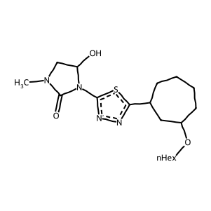 CCCCCCOC1CCCCC(c2nnc(N3C(=O)N(C)CC3O)s2)C1